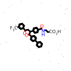 O=C(O)CCNC(=O)c1ccc(C(CC(=O)c2cccc(C(F)(F)F)c2)C(=O)c2ccc(-c3ccccc3)cc2)cc1